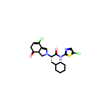 O=C1CC=C(Cl)C2=CN([C@@H](CC3CCCCC3)C(=O)Nc3ncc(Cl)s3)CC12